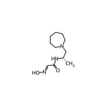 C[C@@H](CN1CCCCCC1)NC(=O)/C=N/O